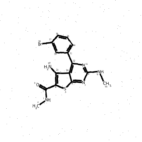 CNC(=O)c1sc2nc(NC)nc(-c3cccc(Br)c3)c2c1N